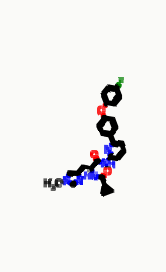 Cn1cnc(C[C@H](NC(=O)C2CC2)C(=O)Nc2cccc(-c3ccc(Oc4ccc(F)cc4)cc3)n2)c1